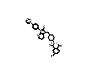 O=C(NC1CCC(Cn2c(=O)n(-c3ccc(-n4ccnn4)cc3)c3ncccc32)CC1)c1cc(Cl)cnc1C(F)F